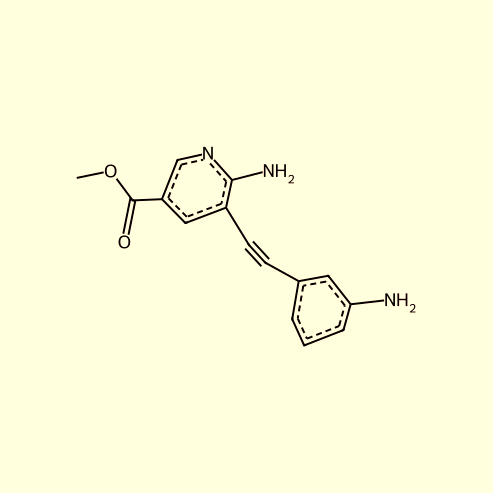 COC(=O)c1cnc(N)c(C#Cc2cccc(N)c2)c1